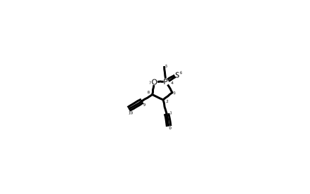 C#CC1CP(C)(=S)OC1C#C